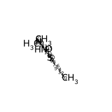 CCCCCCCCCCSSCCC(=O)NCCCN(C)C